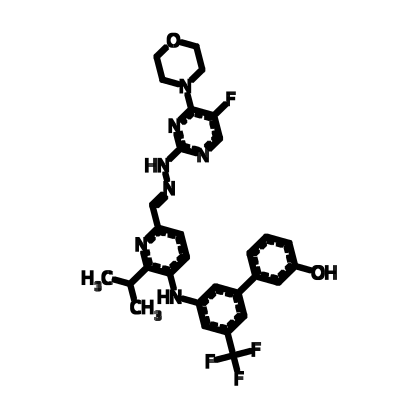 CC(C)c1nc(/C=N/Nc2ncc(F)c(N3CCOCC3)n2)ccc1Nc1cc(-c2cccc(O)c2)cc(C(F)(F)F)c1